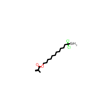 C=C(C)C(=O)OCCCCCCCCCCCC([SiH3])(Cl)Cl